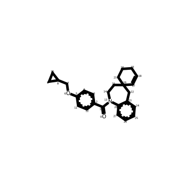 O=C(c1ccc(OCC2CC2)cc1)N1CCC2(C=CCCC2)Cc2ccccc21